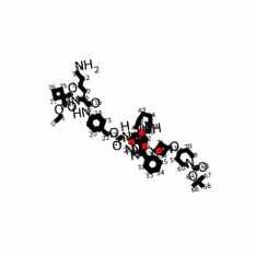 CCOC(=O)C1(C(=O)N[C@@H](CCCCN)C(=O)Nc2ccc(COC(=O)Nc3nnc(-c4ccccc4O)cc3N3CC4CC[C@H](C3)N4c3ccnc(OC4CC(OC5CCN(C(=O)OC(C)(C)C)CC5)C4)c3)cc2)CCC1